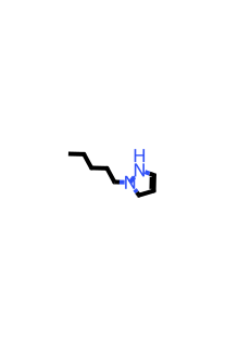 CCCCCN1CC=CN1